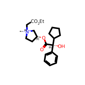 CCOC(=O)C[N@+]1(C)CC[C@@H](OC(=O)[C@](O)(c2ccccc2)C2CCCC2)C1